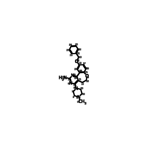 CN1CCN(c2nc(N)nc3c2CCOc2ccc(OCc4ccccc4)cc2-3)CC1